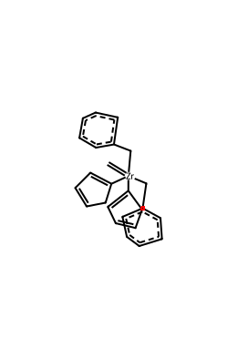 [CH2]=[Zr]([CH2]c1ccccc1)([CH2]c1ccccc1)([C]1=CC=CC1)[C]1=CC=CC1